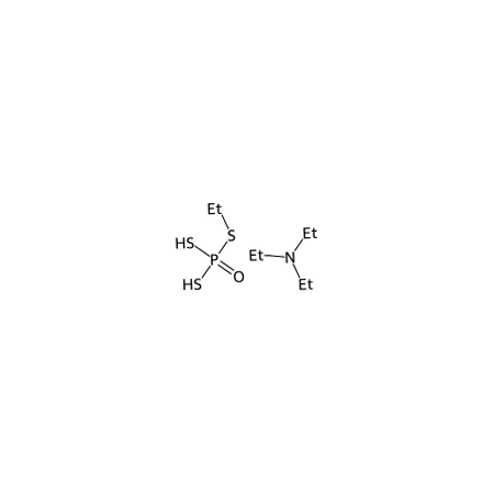 CCN(CC)CC.CCSP(=O)(S)S